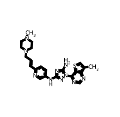 Cc1csc2c(-n3nc(Nc4ccc(C=CCN5CCN(C)CC5)nc4)nc3N)ncnc12